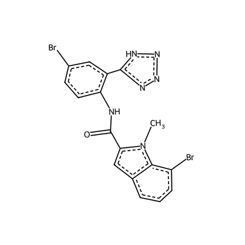 Cn1c(C(=O)Nc2ccc(Br)cc2-c2nnn[nH]2)cc2cccc(Br)c21